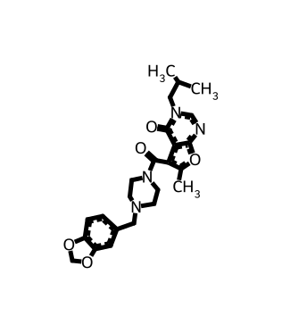 Cc1oc2ncn(CC(C)C)c(=O)c2c1C(=O)N1CCN(Cc2ccc3c(c2)OCO3)CC1